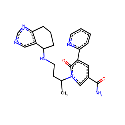 CC(CCNC1CCCc2ncncc21)n1cc(C(N)=O)cc(-c2ccccn2)c1=O